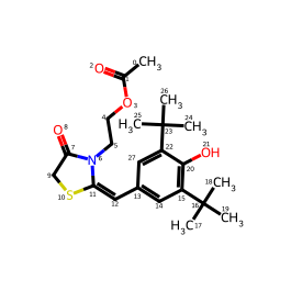 CC(=O)OCCN1C(=O)CSC1=Cc1cc(C(C)(C)C)c(O)c(C(C)(C)C)c1